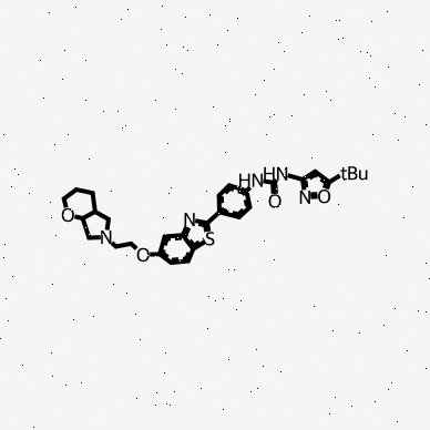 CC(C)(C)c1cc(NC(=O)Nc2ccc(-c3nc4cc(OCCN5CC6CCCOC6C5)ccc4s3)cc2)no1